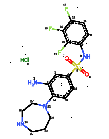 Cl.Nc1cc(S(=O)(=O)Nc2ccc(F)c(F)c2F)ccc1N1CCCNCC1